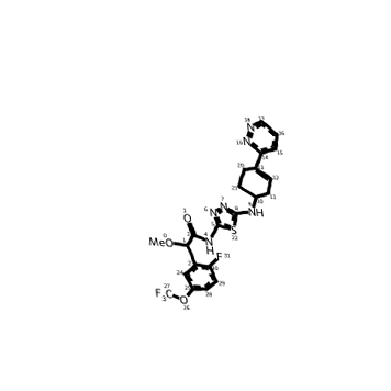 COC(C(=O)Nc1nnc(NC2CC=C(c3cccnn3)CC2)s1)c1cc(OC(F)(F)F)ccc1F